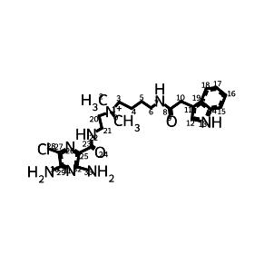 C[N+](C)(CCCCNC(=O)Cc1c[nH]c2ccccc12)CCNC(=O)c1nc(Cl)c(N)nc1N